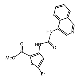 COC(=O)c1sc(Br)cc1NC(=O)Nc1cncc2ccccc12